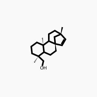 C[C@]12C=C[C@@]3(CCC4[C@@](C)(CO)CCC[C@@]4(C)C3CC1)C2